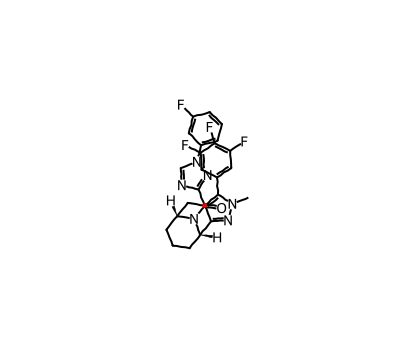 Cn1nc2c(c1-c1cc(F)c(F)c(F)c1)C[C@H]1CCC[C@@H]2N1C(=O)c1ncn(-c2cccc(F)c2)n1